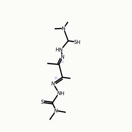 CC(=N\NC(=S)N(C)C)/C(C)=N/NC(S)N(C)C